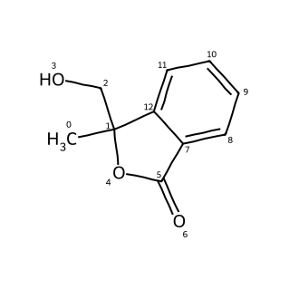 CC1(CO)OC(=O)c2ccccc21